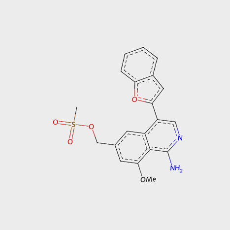 COc1cc(COS(C)(=O)=O)cc2c(-c3cc4ccccc4o3)cnc(N)c12